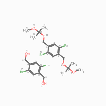 COC(C)(C)OCc1cc(Br)c(COC(C)(C)OC)cc1F.OCc1cc(Br)c(CO)cc1F